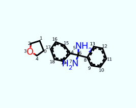 C1CCOC1.NC(N)(c1ccccc1)c1ccccc1